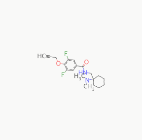 C#CCOc1c(F)cc(C(=O)NCC2(N(C)C)CCCCC2)cc1F